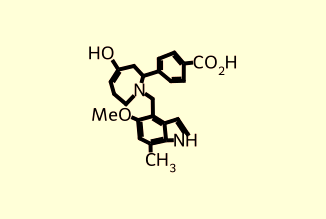 COc1cc(C)c2[nH]ccc2c1CN1CCC=C(O)CC1c1ccc(C(=O)O)cc1